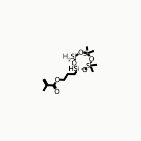 C=C(C)C(=O)OCCC[SiH]1O[SiH2]O[Si](C)(C)O[Si](C)(C)O1